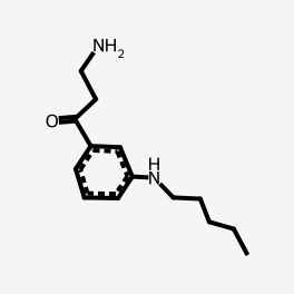 CCCCCNc1cccc(C(=O)CCN)c1